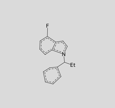 CCC(c1ccccc1)n1ccc2c(F)cccc21